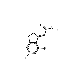 NC(=O)C=C1CCc2cc(F)cc(F)c21